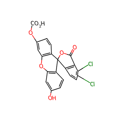 O=C(O)Oc1ccc2c(c1)Oc1cc(O)ccc1C21OC(=O)c2c1ccc(Cl)c2Cl